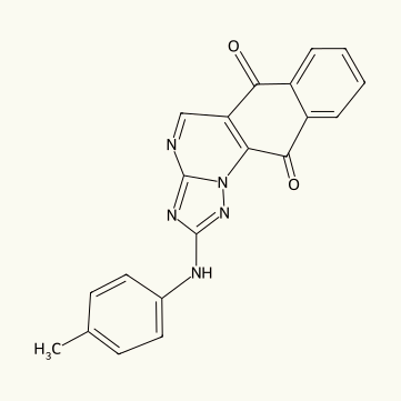 Cc1ccc(Nc2nc3ncc4c(n3n2)C(=O)c2ccccc2C4=O)cc1